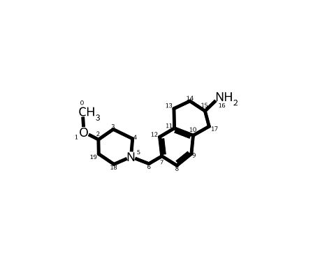 COC1CCN(Cc2ccc3c(c2)CCC(N)C3)CC1